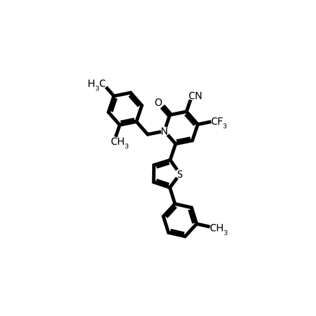 Cc1cccc(-c2ccc(-c3cc(C(F)(F)F)c(C#N)c(=O)n3Cc3ccc(C)cc3C)s2)c1